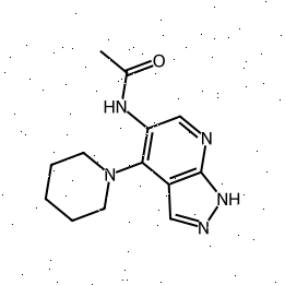 CC(=O)Nc1cnc2[nH]ncc2c1N1CCCCC1